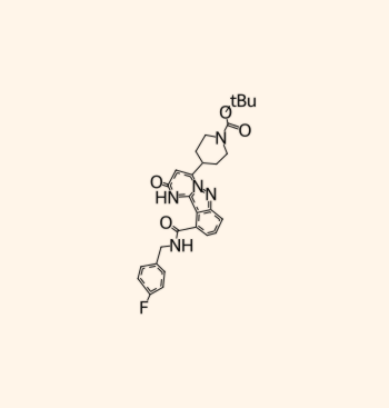 CC(C)(C)OC(=O)N1CCC(c2cc(=O)[nH]c3c4c(C(=O)NCc5ccc(F)cc5)cccc4nn23)CC1